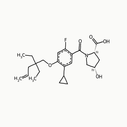 C=CCC(CC)(CC)COc1cc(F)c(C(=O)N2C[C@@H](O)C[C@H]2C(=O)O)cc1C1CC1